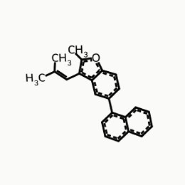 CC(C)=Cc1c(C)oc2ccc(-c3cccc4ccccc34)cc12